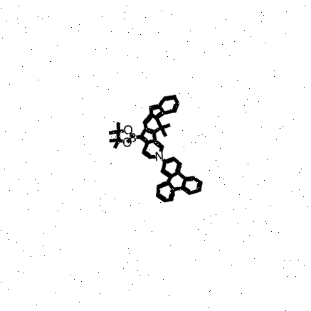 CC1(C)C2=c3ccccc3=CC2=Cc2c(B3OC(C)(C)C(C)(C)O3)c3ccn(-c4ccc5c6ccccc6c6ccccc6c5c4)cc-3c21